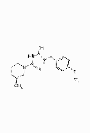 CC1CCCN(C(=N)NC(=N)NCc2ccc(OC(F)(F)F)cc2)C1